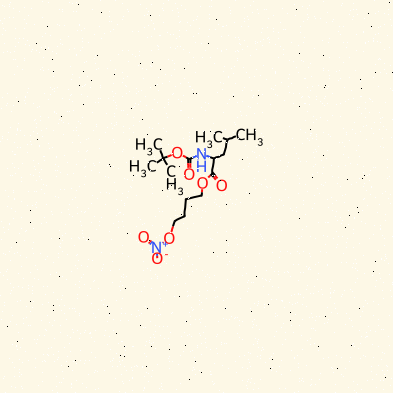 CC(C)CC(NC(=O)OC(C)(C)C)C(=O)OCCCCO[N+](=O)[O-]